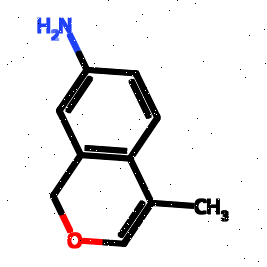 CC1=COCc2cc(N)ccc21